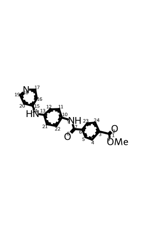 COC(=O)c1ccc(C(=O)Nc2ccc(Nc3ccncc3)cc2)cc1